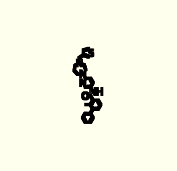 Cc1c(C(=O)Nc2ccc(N3CCCN(Cc4ccsc4)CC3)nc2)cccc1-c1ccccc1